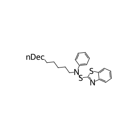 CCCCCCCCCCCCCCCN(Sc1nc2ccccc2s1)c1ccccc1